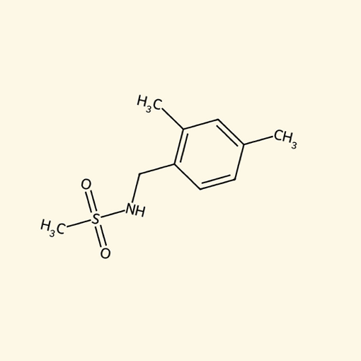 Cc1ccc(CNS(C)(=O)=O)c(C)c1